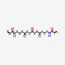 C=CC(=O)NCCCC(=O)CCC(=O)CCC(=O)CCCNC(=O)C=C